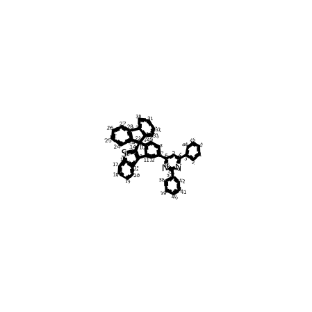 c1ccc(-c2cc(-c3ccc4c(c3)-c3c(sc5ccccc35)C43c4ccccc4-c4ccccc43)nc(-c3ccccc3)n2)cc1